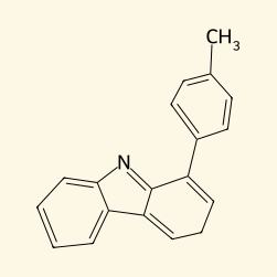 Cc1ccc(C2=CCC=C3C2=Nc2ccccc23)cc1